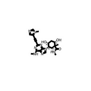 CNC(=O)C1(C)[C@H](C)[C@@H](n2cnc3c(NC)nc(C#Cc4cncn4C)nc32)[C@H](O)C[C@@H]1O